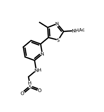 CC(=O)Nc1nc(C)c(-c2cccc(NC[SH](=O)=O)n2)s1